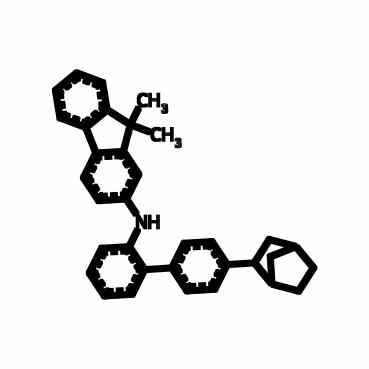 CC1(C)c2ccccc2-c2ccc(Nc3ccccc3-c3ccc(C4CC5CCC4C5)cc3)cc21